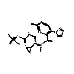 Cc1ccc(-n2nccn2)c(C(=O)N(C)[C@H](CNC(=O)OC(C)(C)C)C2CC2)n1